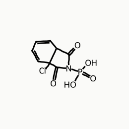 O=C1C2C=CC=CC2(Cl)C(=O)N1P(=O)(O)O